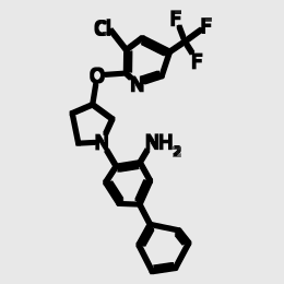 Nc1cc(-c2ccccc2)ccc1N1CCC(Oc2ncc(C(F)(F)F)cc2Cl)C1